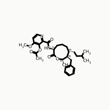 COc1ccnc(C(=O)N[C@H]2CCC[C@H](CCC(C)C)[C@@H](Cc3ccccc3)[C@H](C)OC2=O)c1OC(C)=O